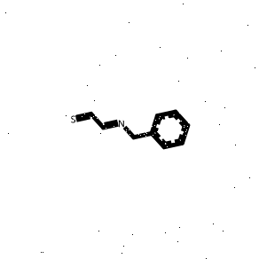 S=CC=NCc1ccccc1